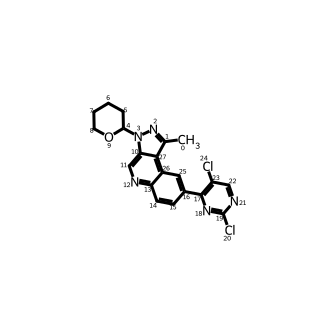 Cc1nn(C2CCCCO2)c2cnc3ccc(-c4nc(Cl)ncc4Cl)cc3c12